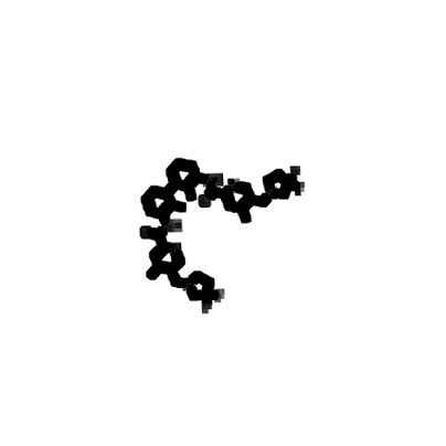 Cc1cc(C(=O)Nc2cccc(-c3cccc(NC(=O)c4cc(C)c(CN5CCC(F)(F)C5)cn4)c3C)c2C)ncc1CN1CCC(F)(F)C1